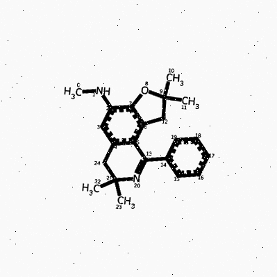 CNc1cc2c(c3c1OC(C)(C)C3)C(c1ccccc1)=NC(C)(C)C2